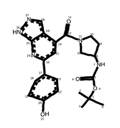 CC(C)(C)OC(=O)NC1CCN(C(=O)c2cc(-c3ccc(O)cc3)nc3[nH]ncc23)C1